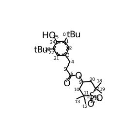 CC(C)(C)c1cc(CCC(=O)OC2CC(C)(C)S(=O)(=O)C(C)(C)C2)cc(C(C)(C)C)c1O